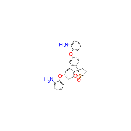 Nc1ccccc1Oc1ccc(C2(c3ccc(Oc4ccccc4N)cc3)CCCS2(=O)=O)cc1